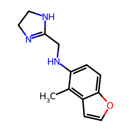 Cc1c(NCC2=NCCN2)ccc2occc12